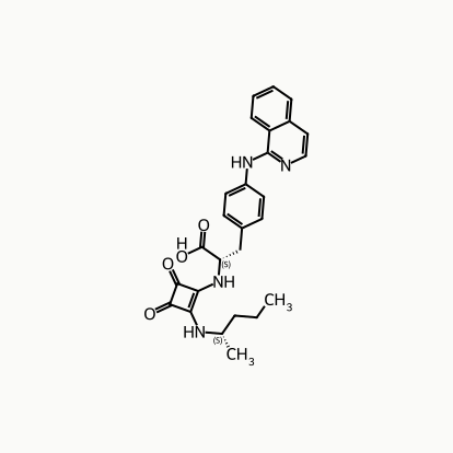 CCC[C@H](C)Nc1c(N[C@@H](Cc2ccc(Nc3nccc4ccccc34)cc2)C(=O)O)c(=O)c1=O